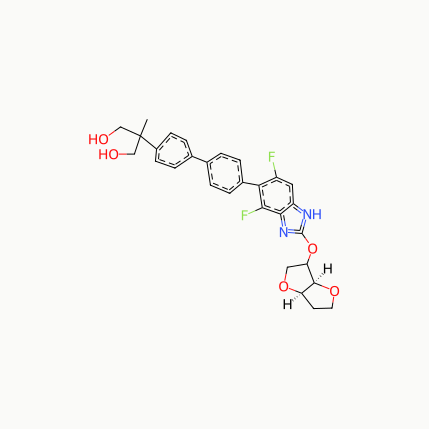 CC(CO)(CO)c1ccc(-c2ccc(-c3c(F)cc4[nH]c(OC5CO[C@@H]6CCO[C@H]56)nc4c3F)cc2)cc1